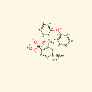 CC(=O)NC1([N+](=O)[O-])C=CC([As](=O)(O)OO)=C(C)C1.c1ccc(Oc2ccccc2)cc1